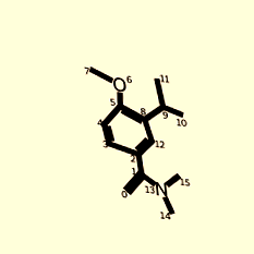 C=C(c1ccc(OC)c(C(C)C)c1)N(C)C